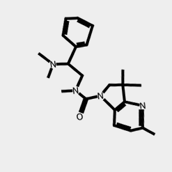 Cc1ccc2c(n1)C(C)(C)CN2C(=O)N(C)CC(c1ccccc1)N(C)C